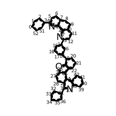 c1ccc(-c2ccc3ccc4ccc(-c5cccc(-c6cccc7c6oc6ccc8c(-c9ccccc9)nc9ccccc9c8c67)c5)nc4c3n2)cc1